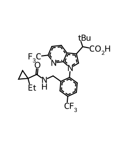 CCC1(C(=O)NCc2cc(C(F)(F)F)ccc2-n2cc(C(C(=O)O)C(C)(C)C)c3ccc(C(F)(F)F)nc32)CC1